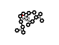 c1ccc(-c2ccc(-c3ccccc3)c(-c3nc(-n4c5ccccc5c5ccc(-c6ccc7c8ccccc8n(-c8ccccc8)c7c6)cc54)nc(-n4c5ccccc5c5ccc(-c6ccc7c8ccccc8n(-c8ccccc8)c7c6)cc54)n3)c2)cc1